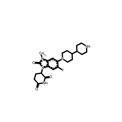 Cn1c(=O)n(C2CCC(=O)NC2=O)c2cc(F)c(N3CCC(C4CCNCC4)CC3)cc21